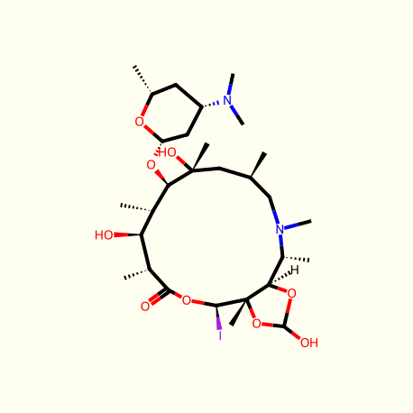 C[C@H]1CN(C)[C@H](C)[C@H]2OC(O)O[C@]2(C)[C@@H](I)OC(=O)[C@H](C)[C@@H](O)[C@H](C)[C@@H](O[C@H]2C[C@@H](N(C)C)C[C@@H](C)O2)[C@](C)(O)C1